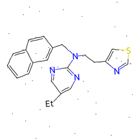 CCc1cnc(N(CCc2cs[c]n2)Cc2ccc3ccccc3c2)nc1